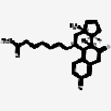 CNC(=O)CCCCCC[C@H]1C[C@]2(C)CCC[C@H]2[C@@H]2C(=O)CC3=CC(=O)CCC3=C12